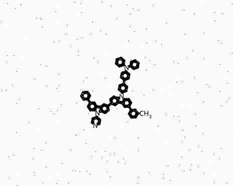 Cc1cccc(-c2ccc3c(c2)c2cc(-c4ccc5c(c4)c4cc(-c6ccccc6)ccc4n5-c4ccncc4)ccc2n3-c2ccc(-c3ccc(N(c4ccccc4)c4ccccc4)cc3)cc2)c1